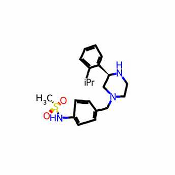 CC(C)c1ccccc1[C@@H]1CN(Cc2ccc(NS(C)(=O)=O)cc2)CCN1